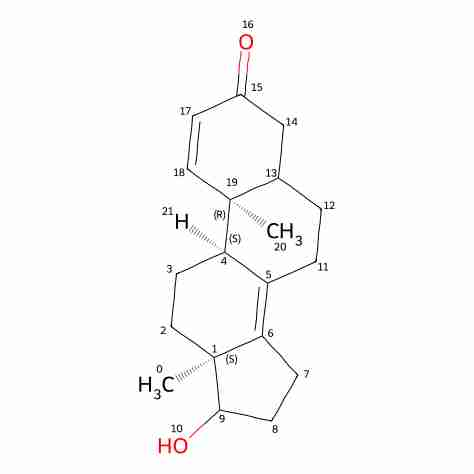 C[C@]12CC[C@@H]3C(=C1CCC2O)CCC1CC(=O)C=C[C@@]13C